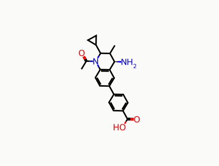 CC(=O)N1c2ccc(-c3ccc(C(=O)O)cc3)cc2[C@H](N)C(C)C1C1CC1